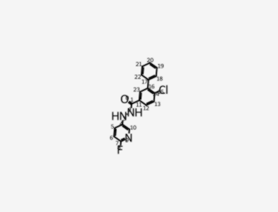 O=C(NNc1ccc(F)nc1)c1ccc(Cl)c(-c2ccccc2)c1